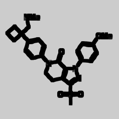 CNCC1(c2ccc(N3CCc4c(S(C)(=O)=O)nn(-c5ccc(OC)cc5)c4C3=O)cc2)CCC1